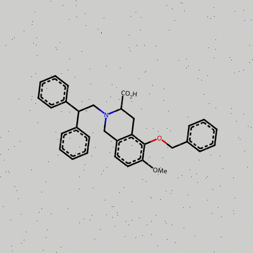 COc1ccc2c(c1OCc1ccccc1)CC(C(=O)O)N(CC(c1ccccc1)c1ccccc1)C2